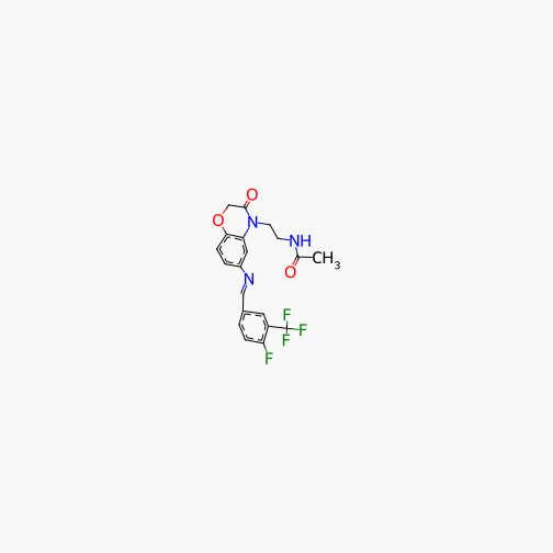 CC(=O)NCCN1C(=O)COc2ccc(N=Cc3ccc(F)c(C(F)(F)F)c3)cc21